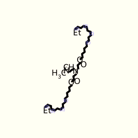 CC/C=C\C/C=C\C/C=C\C/C=C/CCCCCOC(=O)CCN(CCC(=O)OCCCCC/C=C/C/C=C\C/C=C\C/C=C\CC)CCN(C)C